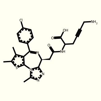 Cc1sc2c(c1C)C(c1ccc(Cl)cc1)=N[C@@H](CC(=O)NC(CC#CCN)C(=O)O)c1nnc(C)n1-2